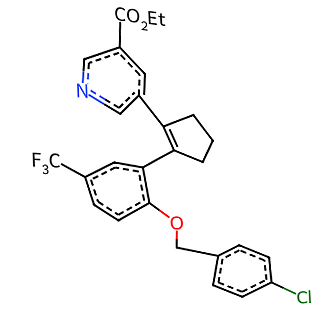 CCOC(=O)c1cncc(C2=C(c3cc(C(F)(F)F)ccc3OCc3ccc(Cl)cc3)CCC2)c1